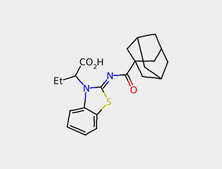 CCC(C(=O)O)n1c(=NC(=O)C23CC4CC(CC(C4)C2)C3)sc2ccccc21